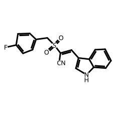 N#C/C(=C\c1c[nH]c2ccccc12)S(=O)(=O)Cc1ccc(F)cc1